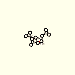 N#Cc1ccc(-n2c3ccccc3c3cc(-n4c5ccccc5c5ccccc54)ccc32)c(-c2cc(C#N)ccc2-n2c3ccccc3c3cc(-n4c5ccccc5c5ccccc54)ccc32)c1